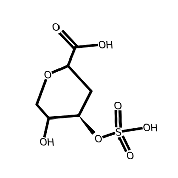 O=C(O)C1C[C@@H](OS(=O)(=O)O)C(O)CO1